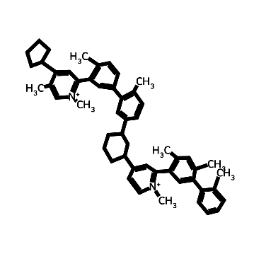 Cc1ccc(C2CCCC(c3cc[n+](C)c(-c4cc(-c5ccccc5C)c(C)cc4C)c3)C2)cc1-c1ccc(C)c(-c2cc(C3CCCC3)c(C)c[n+]2C)c1